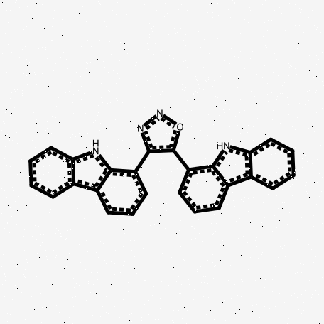 c1ccc2c(c1)[nH]c1c(-c3nnoc3-c3cccc4c3[nH]c3ccccc34)cccc12